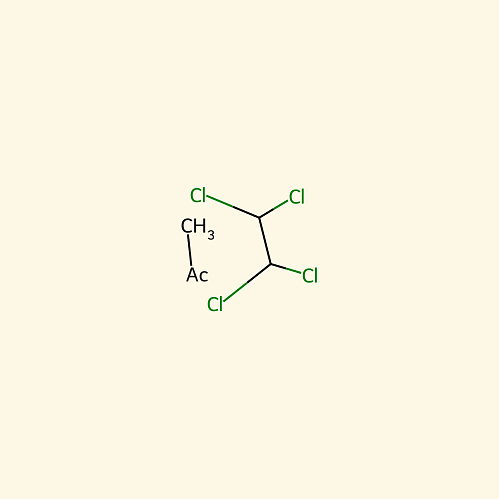 CC(C)=O.ClC(Cl)C(Cl)Cl